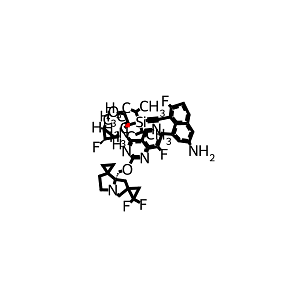 CC(C)[Si](C#Cc1c(F)ccc2cc(N)cc(-c3ncc4c(N5CCOC[C@H]6[C@H](F)[C@H]65)nc(OC[C@]56CC7(CN5CCC65CC5)CC7(F)F)nc4c3F)c12)(C(C)C)C(C)C